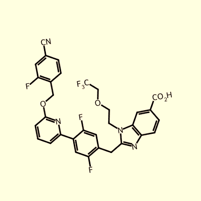 N#Cc1ccc(COc2cccc(-c3cc(F)c(Cc4nc5ccc(C(=O)O)cc5n4CCOCC(F)(F)F)cc3F)n2)c(F)c1